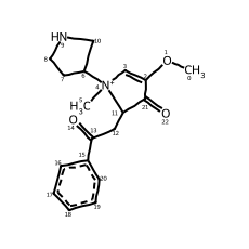 COC1=C[N+](C)(C2CCNC2)C(CC(=O)c2ccccc2)C1=O